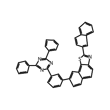 c1ccc(-c2nc(-c3ccccc3)nc(-c3cccc(-c4ccc5ccc6nc(-c7ccc8ccccc8c7)sc6c5c4)c3)n2)cc1